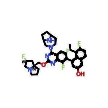 CCc1c(F)ccc2cc(O)cc(-c3c(F)cc4c(N5CCC6CCC(C5)N6)nc(OC[C@@]56CCCN5C[C@H](F)C6)nc4c3F)c12